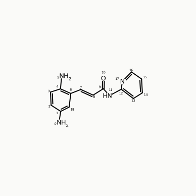 Nc1ccc(N)c(C=CC(=O)Nc2ccccn2)c1